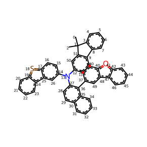 CC1(C)c2ccccc2-c2ccc(N(c3ccc4sc5ccccc5c4c3)c3ccc4ccccc4c3-c3ccc4oc5ccccc5c4c3)cc21